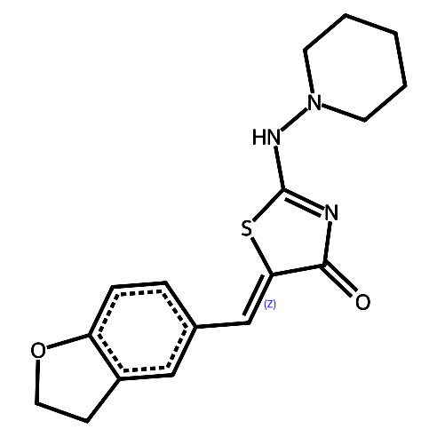 O=C1N=C(NN2CCCCC2)S/C1=C\c1ccc2c(c1)CCO2